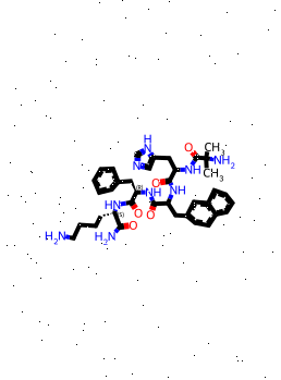 CC(C)(N)C(=O)NC(Cc1cnc[nH]1)C(=O)NC(Cc1ccc2ccccc2c1)C(=O)N[C@H](Cc1ccccc1)C(=O)N[C@@H](CCCCN)C(N)=O